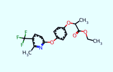 CCOC(=O)C(C)Oc1ccc(Oc2ccc(C(F)(F)F)c(C)n2)cc1